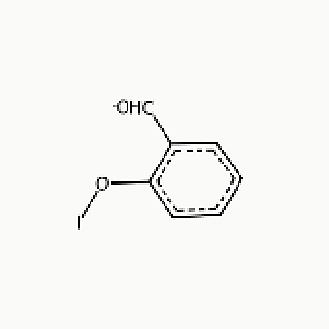 O=[C]c1ccccc1OI